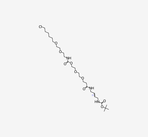 CC(C)(C)OC(=O)NC/C=C/CNC(=O)CCOCCOCCOC(=O)NCCOCCOCCCCCCCl